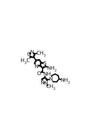 Cc1noc(C)c1-c1cnc2c(C(=O)Nc3cnn(C)c3N3CCCC(N)CC3)c(N)sc2c1